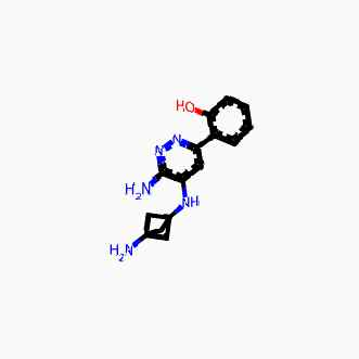 Nc1nnc(-c2ccccc2O)cc1NC12CC(N)(C1)C2